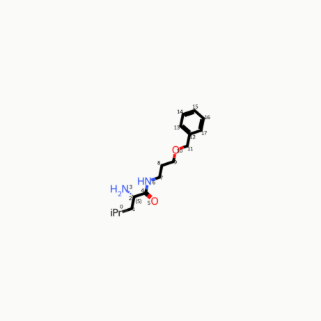 CC(C)C[C@H](N)C(=O)NCCCOCc1ccccc1